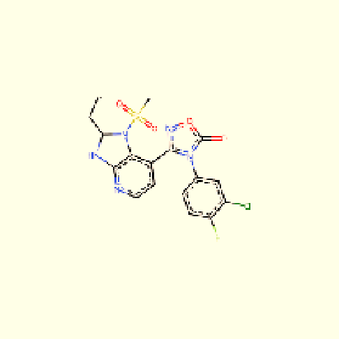 [CH2]CC1Nc2nccc(-c3noc(=O)n3-c3ccc(F)c(Cl)c3)c2N1S(C)(=O)=O